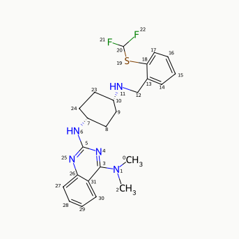 CN(C)c1nc(N[C@H]2CC[C@@H](NCc3ccccc3SC(F)F)CC2)nc2ccccc12